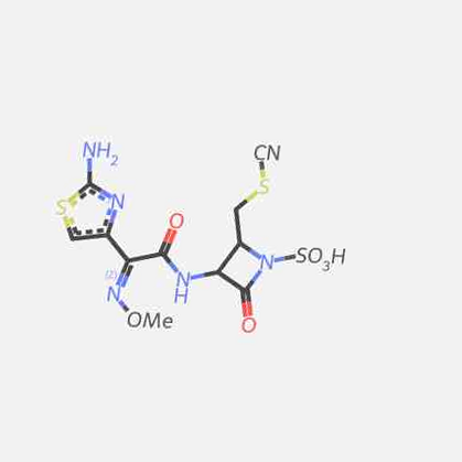 CO/N=C(\C(=O)NC1C(=O)N(S(=O)(=O)O)C1CSC#N)c1csc(N)n1